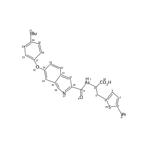 CC(C)c1ccc(CC([AsH]C(=O)c2cc3ccc(Oc4ccc(C(C)(C)C)cc4)cc3cn2)C(=O)O)s1